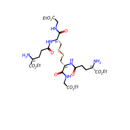 CCOC(=O)CNC(=O)[C@H](CSSC[C@H](NC(=O)CC[C@H](N)C(=O)OCC)C(=O)NCC(=O)OCC)NC(=O)CC[C@H](N)C(=O)OCC